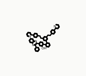 Oc1cc(-c2nc3ccccc3nc2-c2ccccc2)ccc1-c1ccccc1-c1cc(CCc2ccc(-c3ccccn3)cc2)cc(CCc2ccc(-c3ccccn3)cc2)c1